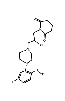 CC(C)Oc1ccc(F)cc1N1CCN(CC(O)CN2C(=O)CCCC2=O)CC1